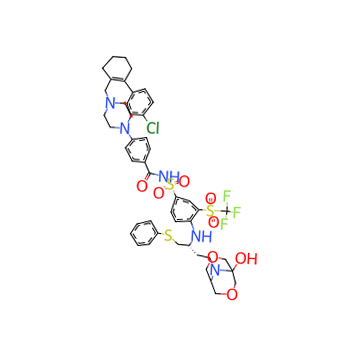 O=C(NS(=O)(=O)c1ccc(N[C@H](CCN2C3COCC2(O)COC3)CSc2ccccc2)c(S(=O)(=O)C(F)(F)F)c1)c1ccc(N2CCN(CC3=C(c4ccc(Cl)cc4)CCCC3)CC2)cc1